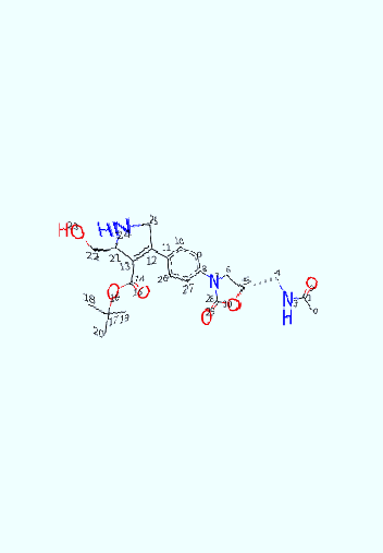 CC(=O)NC[C@H]1CN(c2ccc(C3=C(C(=O)OC(C)(C)C)[C@@H](CO)NC3)cc2)C(=O)O1